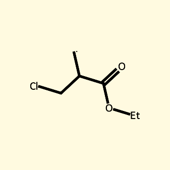 [CH2]C(CCl)C(=O)OCC